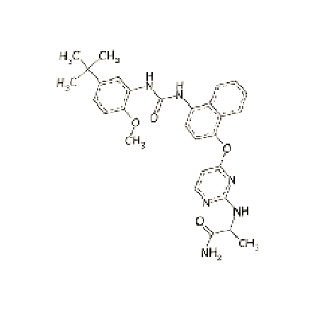 COc1ccc(C(C)(C)C)cc1NC(=O)Nc1ccc(Oc2ccnc(NC(C)C(N)=O)n2)c2ccccc12